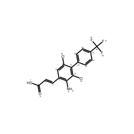 Nc1c(C=CC(=O)O)cc(Cl)c(-c2ccc(C(F)(F)F)cc2)c1Cl